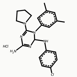 Cc1cc(C)cc(N2C(N3CCCC3)=NC(N)=NC2Nc2ccc(Cl)cc2)c1.Cl